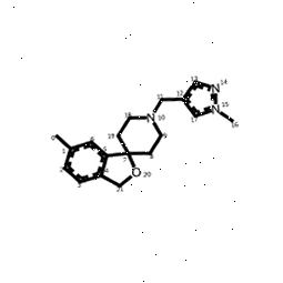 Cc1ccc2c(c1)C1(CCN(Cc3cnn(C)c3)CC1)OC2